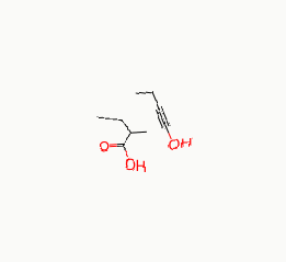 CCC#CO.CCC(C)C(=O)O